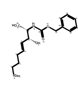 CCCCCCCCCCCCCC=C[C@@H](O)[C@@H](NC(=O)OCc1ccccc1)C(=O)O